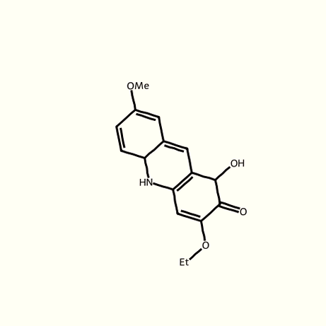 CCOC1=CC2=C(C=C3C=C(OC)C=CC3N2)C(O)C1=O